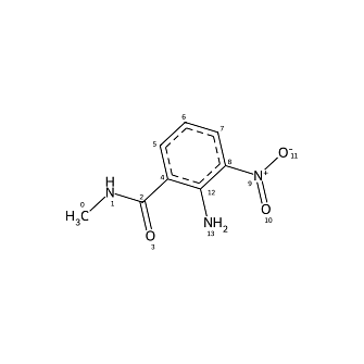 CNC(=O)c1cccc([N+](=O)[O-])c1N